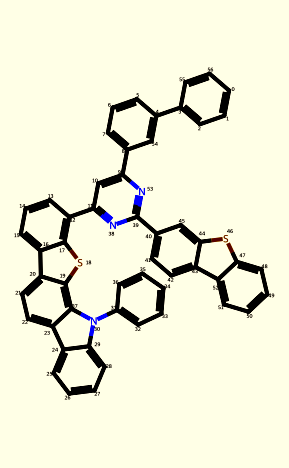 c1ccc(-c2cccc(-c3cc(-c4cccc5c4sc4c5ccc5c6ccccc6n(-c6ccccc6)c54)nc(-c4ccc5c(c4)sc4ccccc45)n3)c2)cc1